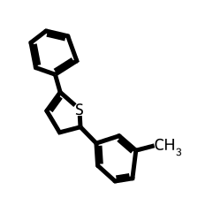 Cc1cccc(C2CC=C(c3ccccc3)S2)c1